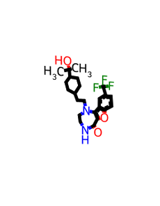 CC(C)(O)C1CCC(CCN2CCNC(=O)c3oc4ccc(C(F)(F)F)cc4c32)CC1